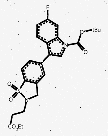 CCOC(=O)CCN1Cc2cc(-c3cn(C(=O)OC(C)(C)C)c4cc(F)ccc34)ccc2S1(=O)=O